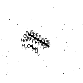 C=CCN.O=S(=O)(O)C(F)(F)C(F)(F)C(F)(F)C(F)(F)C(F)(F)C(F)(F)C(F)(F)F